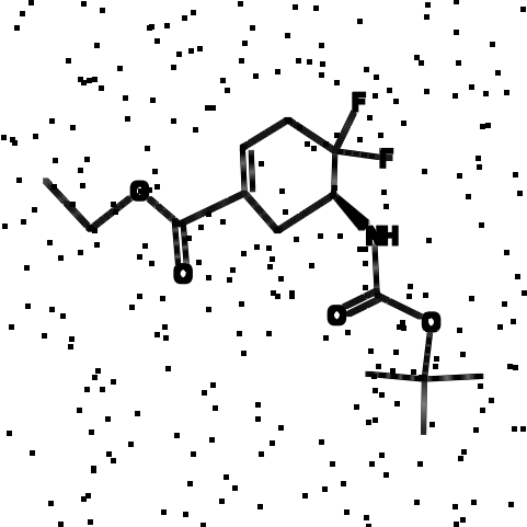 CCOC(=O)C1=CCC(F)(F)[C@@H](NC(=O)OC(C)(C)C)C1